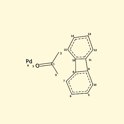 CC(C)=O.[Pd].c1ccc2c(c1)-c1ccccc1-2